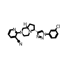 N#Cc1cccnc1N1CCN2[C@@H](CC[C@@H]2c2cn(-c3cccc(Cl)c3)nn2)C1